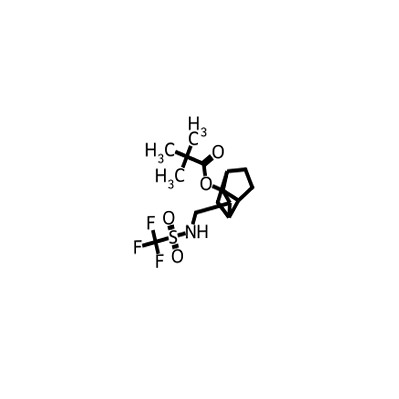 CC(C)(C)C(=O)OC12C3CCC1C(C3)C2CNS(=O)(=O)C(F)(F)F